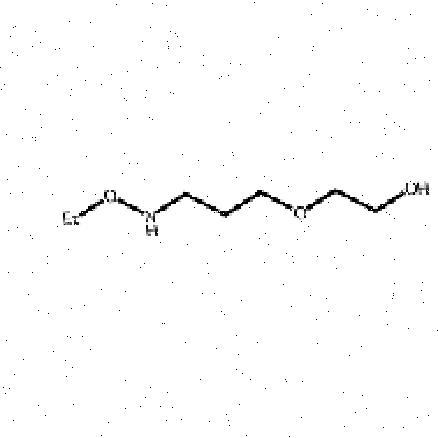 CCONCCCOCCO